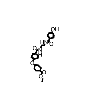 CCOC(=O)C1CCC(Oc2ccc(C(=O)NCCNC(=O)c3ccc(O)cc3)cc2)CC1